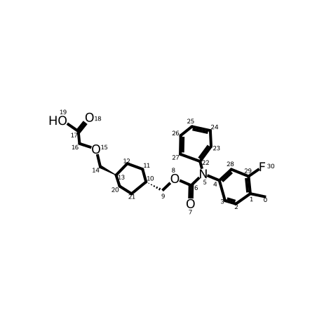 Cc1ccc(N(C(=O)OC[C@H]2CC[C@H](COCC(=O)O)CC2)c2ccccc2)cc1F